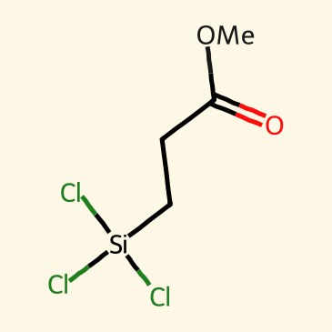 COC(=O)CC[Si](Cl)(Cl)Cl